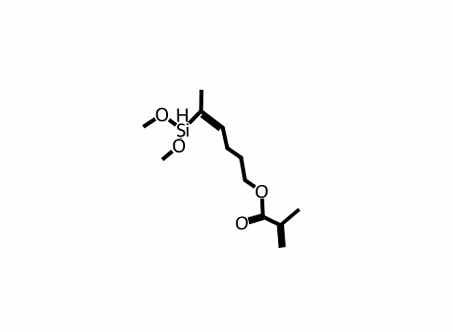 C=C(C)C(=O)OCCCC=C(C)[SiH](OC)OC